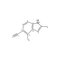 C#Cc1ccc2[nH]c(C)cc2c1C